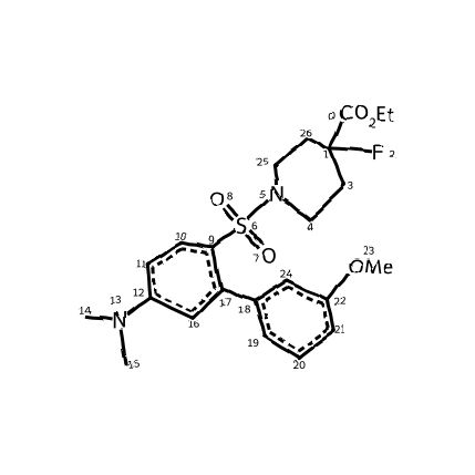 CCOC(=O)C1(F)CCN(S(=O)(=O)c2ccc(N(C)C)cc2-c2cccc(OC)c2)CC1